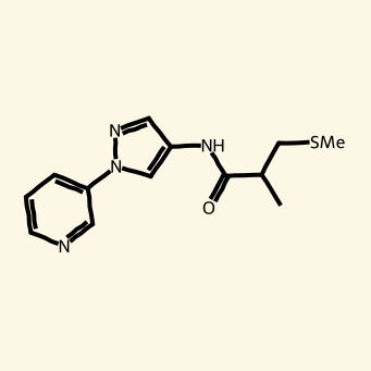 CSCC(C)C(=O)Nc1cnn(-c2cccnc2)c1